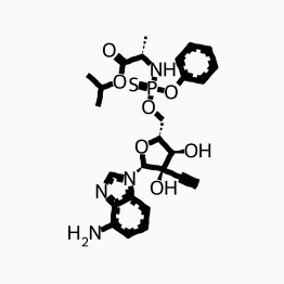 C#C[C@@]1(O)[C@H](O)[C@@H](COP(=S)(N[C@@H](C)C(=O)OC(C)C)Oc2ccccc2)O[C@H]1n1cnc2c(N)cccc21